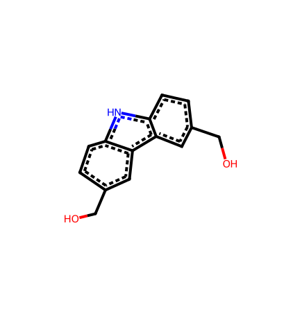 OCc1ccc2[nH]c3ccc(CO)cc3c2c1